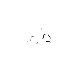 COc1ccc(F)cc1N1CCC(C)CC1